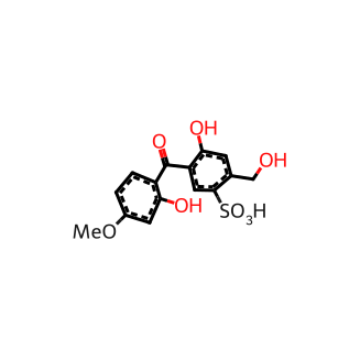 COc1ccc(C(=O)c2cc(S(=O)(=O)O)c(CO)cc2O)c(O)c1